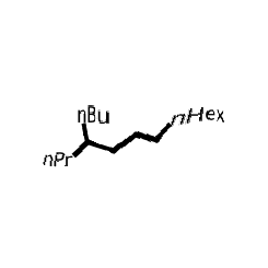 CCCCCCCCCC(CCC)CCCC